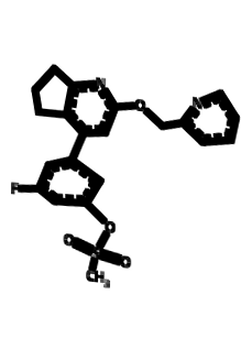 CS(=O)(=O)Oc1cc(F)cc(-c2cc(OCc3ccccn3)nc3c2CCC3)c1